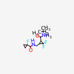 CC(C)(C)NC(=O)C1C(CNC(=O)C2(F)CC2)C1(F)F